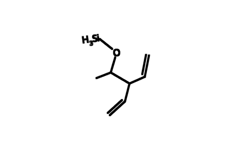 C=CC(C=C)C(C)O[SiH3]